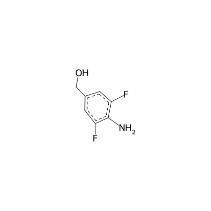 Nc1c(F)cc(CO)cc1F